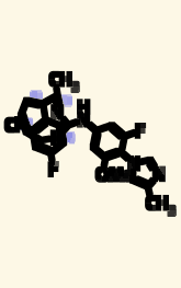 COc1cc(NC2=N\C\C=C/C=C(c3ccc(F)cc3Cl)/C(C)=N/2)cc(F)c1-n1cnc(C)c1